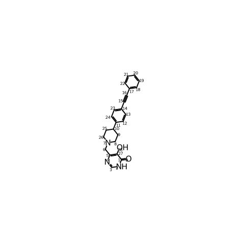 O=c1[nH]cnc(CN2CCC(c3ccc(C#Cc4ccccc4)cc3)CC2)c1O